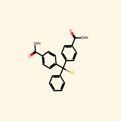 COC(=O)c1ccc(C(P)(c2ccccc2)c2ccc(C(=O)OC)cc2)cc1